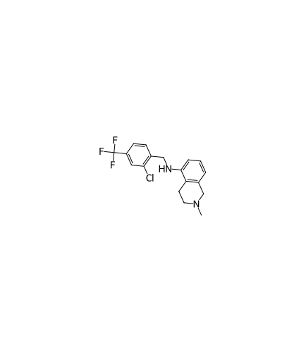 CN1CCc2c(cccc2NCc2ccc(C(F)(F)F)cc2Cl)C1